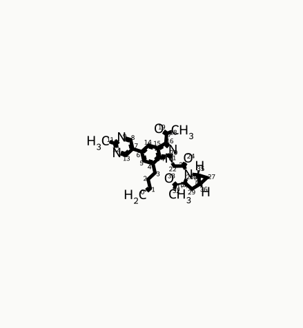 C=CCCc1cc(-c2cnc(C)nc2)cc2c(C(C)=O)nn(CC(=O)N3[C@@H]4C[C@@H]4C[C@H]3C(C)=O)c12